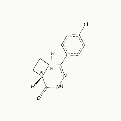 O=C1NN=C(c2ccc(Cl)cc2)[C@@H]2CC[C@@H]12